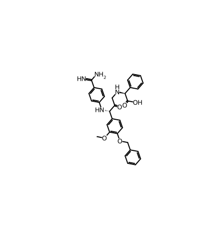 COc1cc([C@H](Nc2ccc(C(=N)N)cc2)C(=O)CN[C@H](C(=O)O)c2ccccc2)ccc1OCc1ccccc1